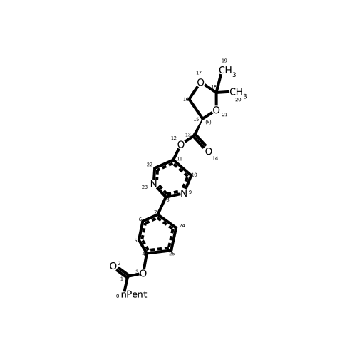 CCCCCC(=O)Oc1ccc(-c2ncc(OC(=O)[C@H]3COC(C)(C)O3)cn2)cc1